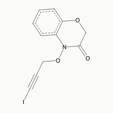 O=C1COc2ccccc2N1OCC#CI